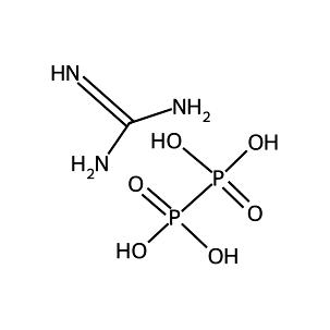 N=C(N)N.O=P(O)(O)P(=O)(O)O